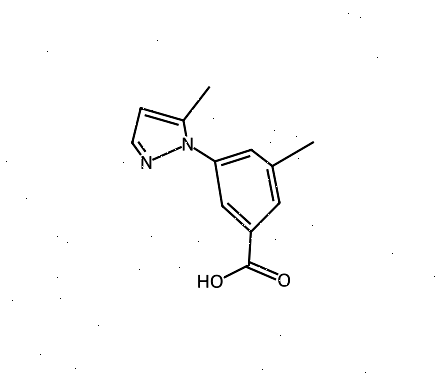 Cc1cc(C(=O)O)cc(-n2nccc2C)c1